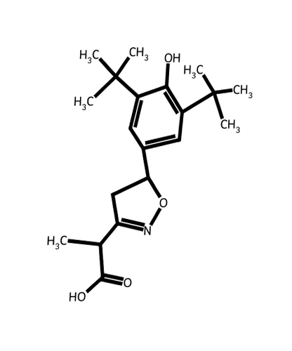 CC(C(=O)O)C1=NOC(c2cc(C(C)(C)C)c(O)c(C(C)(C)C)c2)C1